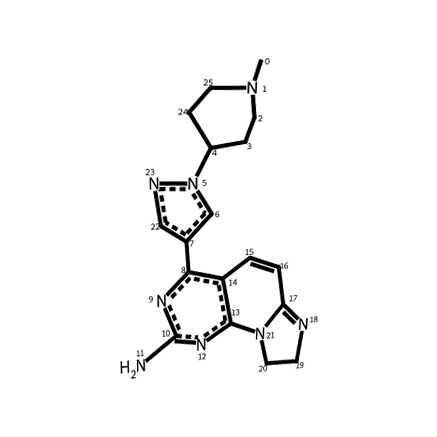 CN1CCC(n2cc(-c3nc(N)nc4c3C=CC3=NCCN34)cn2)CC1